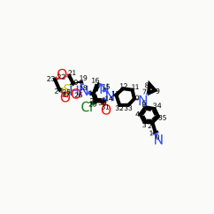 N#Cc1ccc(N(C2CC2)[C@H]2CC[C@H](n3ncc(NC[C@@H]4COCCS4(=O)=O)c(Cl)c3=O)CC2)cc1